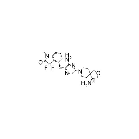 CN1C(=O)C(F)(F)c2c(Sc3ncc(N4CCC5(CC4)COC[C@H]5N)nc3N)cccc21